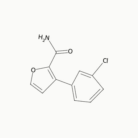 NC(=O)c1occc1-c1cccc(Cl)c1